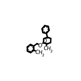 Cc1ccccc1COC1CC2(c3ccccc3)CCC1(C)O2